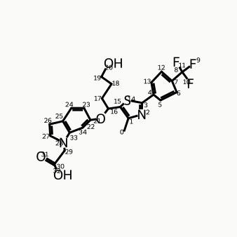 Cc1nc(-c2ccc(C(F)(F)F)cc2)sc1C(CCCO)Oc1ccc2ccn(CC(=O)O)c2c1